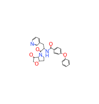 O=C(NC(Cc1cccnc1)C(=O)N1CCC2OCC(=O)C21)c1ccc(Oc2ccccc2)cc1